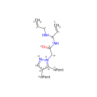 C=CCNC(C=C)NC(=O)Cn1ncc(CCCCC)c1CCCCC